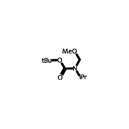 COCN(C(=O)OC(C)(C)C)C(C)C